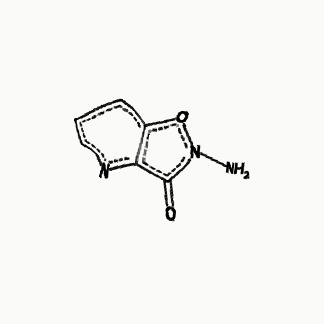 Nn1oc2cccnc2c1=O